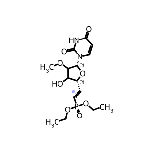 CCOP(=O)(/C=C/[C@H]1O[C@@H](n2ccc(=O)[nH]c2=O)C(OC)C1O)OCC